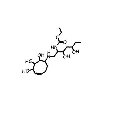 CCOC(=O)NC(CNC1CC/C=C\C(O)C(O)C1O)C(O)CC(O)CC